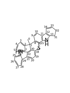 CC1(c2ccccc2)c2ccc3c4c([nH]c3c2Sc2ccc3c([nH]c5ccccc53)c21)CCC=C4